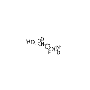 CN1CN(c2ccc(N3C[C@H](CO)OC3=O)cc2F)CC1=O